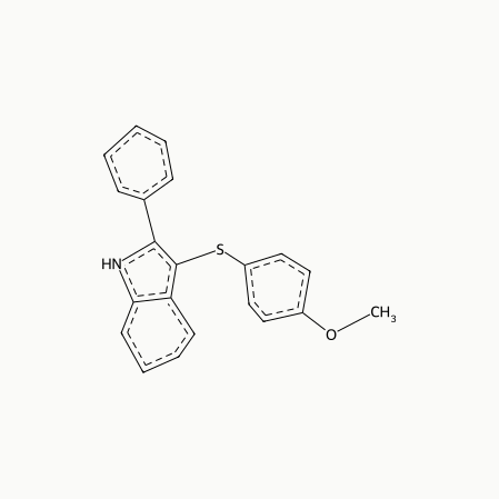 COc1ccc(Sc2c(-c3ccccc3)[nH]c3ccccc23)cc1